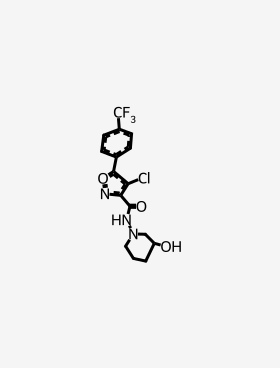 O=C(NN1CCCC(O)C1)c1noc(-c2ccc(C(F)(F)F)cc2)c1Cl